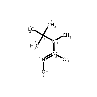 CN([N+]([O-])=NO)C(C)(C)C